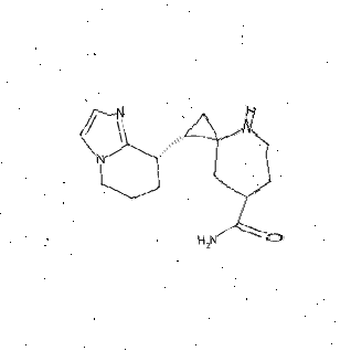 NC(=O)C1CCNC2(C1)CC2[C@@H]1CCCn2ccnc21